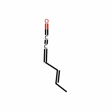 CC=CC=C=C=O